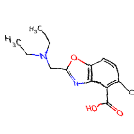 CCN(CC)Cc1nc2c(C(=O)O)c(C)ccc2o1